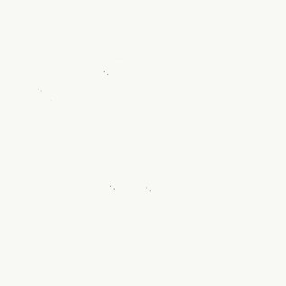 c1ccc(-c2ccc(-c3cc(-c4ccc5c(c4)C4(c6ccccc6N(c6ccccc6)c6ccccc64)c4ncccc4-5)nc(-c4ccccc4)n3)cc2)cc1